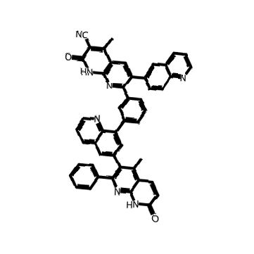 Cc1c(-c2cc(-c3cccc(-c4nc5[nH]c(=O)c(C#N)c(C)c5cc4-c4ccc5ncccc5c4)c3)c3ncccc3c2)c(-c2ccccc2)nc2[nH]c(=O)ccc12